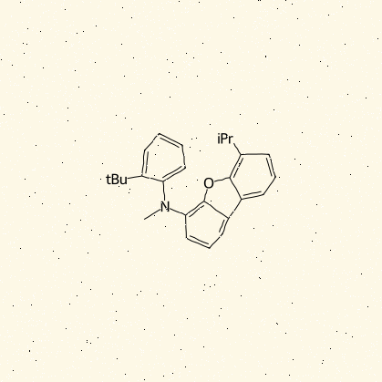 CC(C)c1cccc2c1oc1c(N(C)c3ccccc3C(C)(C)C)cccc12